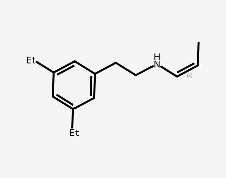 C/C=C\NCCc1cc(CC)cc(CC)c1